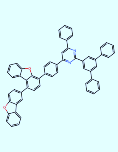 c1ccc(-c2cc(-c3ccccc3)cc(-c3nc(-c4ccccc4)cc(-c4ccc(-c5ccc(-c6ccc7oc8ccccc8c7c6)c6c5oc5ccccc56)cc4)n3)c2)cc1